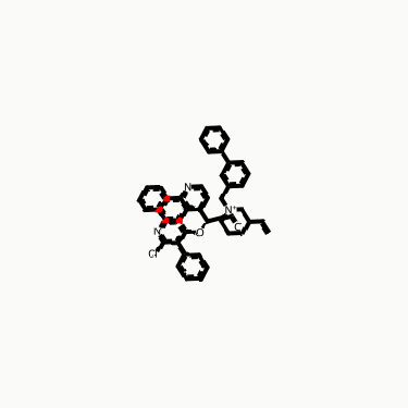 C=CC1C[N+]2(Cc3cccc(-c4ccccc4)c3)CCC1CC2[C@@H](Oc1nc(-c2ccccc2)nc(Cl)c1-c1ccccc1)c1ccnc2ccccc12